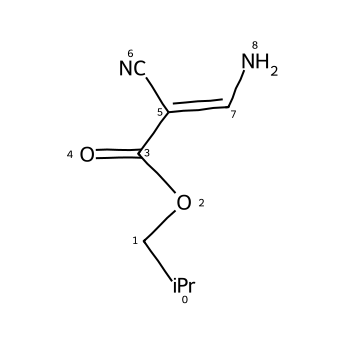 CC(C)COC(=O)C(C#N)=CN